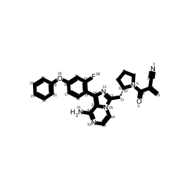 C=C(C#N)C(=O)N1CCC[C@H]1Cc1nc(-c2ccc(Oc3ccccc3)cc2F)c2c(N)nccn12